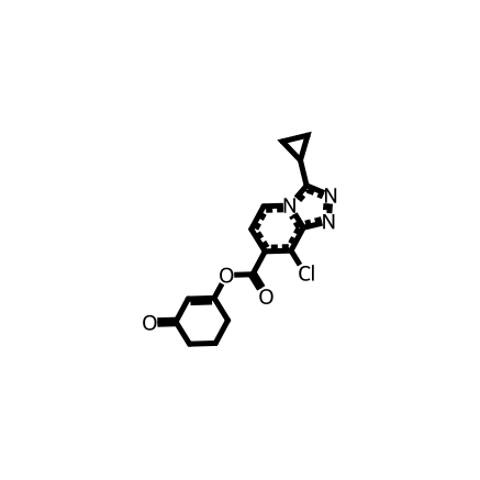 O=C1C=C(OC(=O)c2ccn3c(C4CC4)nnc3c2Cl)CCC1